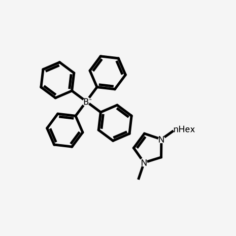 CCCCCCN1C=CN(C)C1.c1ccc([B-](c2ccccc2)(c2ccccc2)c2ccccc2)cc1